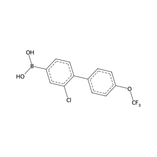 OB(O)c1ccc(-c2ccc(OC(F)(F)F)cc2)c(Cl)c1